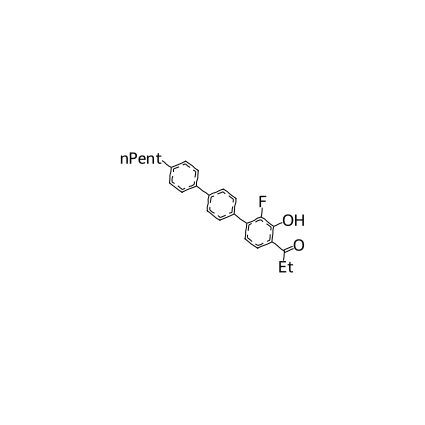 CCCCCc1ccc(-c2ccc(-c3ccc(C(=O)CC)c(O)c3F)cc2)cc1